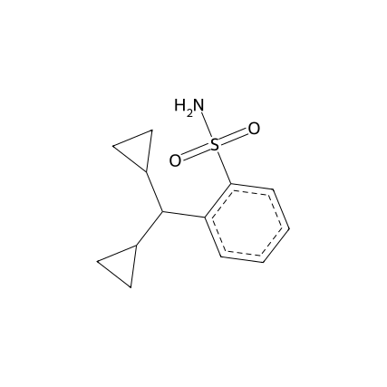 NS(=O)(=O)c1ccccc1C(C1CC1)C1CC1